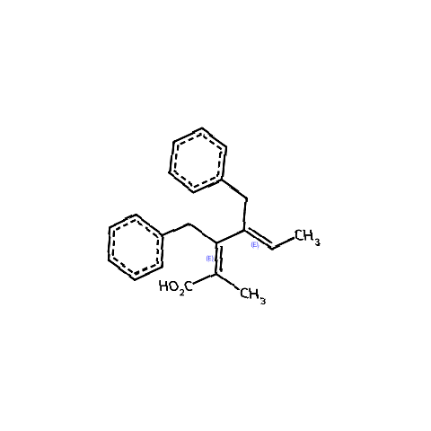 C/C=C(Cc1ccccc1)/C(Cc1ccccc1)=C(\C)C(=O)O